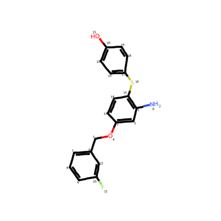 Nc1cc(OCc2cccc(F)c2)ccc1Sc1ccc(O)cc1